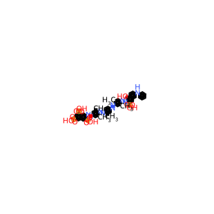 Cc1cc(N=Nc2c(S(=O)(=O)O)cc3cc(Nc4ccccc4)ccc3c2O)c(C)cc1N=Nc1ccc(N=Nc2c(C)cc(N=Nc3cc4c(S(=O)(=O)O)cc(S(=O)(=O)O)cc4cc3S(=O)(=O)O)cc2C)c(C)c1